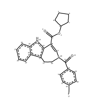 O=C(OC1CCCC1)C1=CN(C(=O)c2ccc(F)cc2)CCc2c1[nH]c1ccccc21